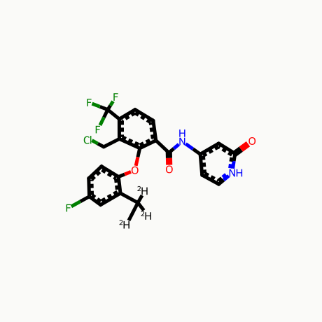 [2H]C([2H])([2H])c1cc(F)ccc1Oc1c(C(=O)Nc2cc[nH]c(=O)c2)ccc(C(F)(F)F)c1CCl